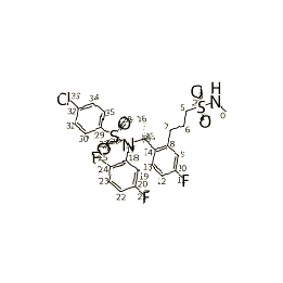 CNS(=O)(=O)CCCc1cc(F)ccc1[C@@H](C)N(c1cc(F)ccc1F)S(=O)(=O)c1ccc(Cl)cc1